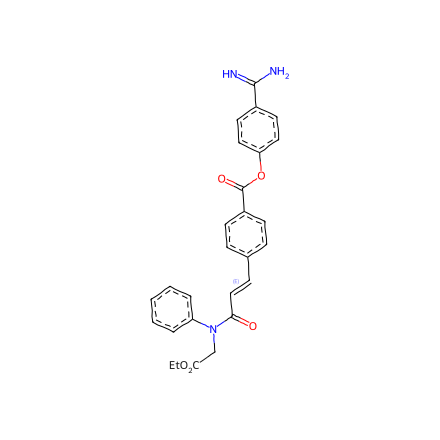 CCOC(=O)CN(C(=O)/C=C/c1ccc(C(=O)Oc2ccc(C(=N)N)cc2)cc1)c1ccccc1